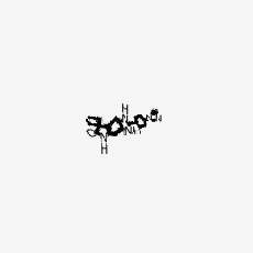 CCC1(CC)C(=O)Nc2cc3c(cc21)NC(c1ccc(-n2ccnc2)cc1)N3